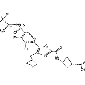 C[C@H](NS(=O)(=O)c1ccc(-c2sc(C(=O)N[C@H]3C[C@H](C(=O)O)C3)nc2CC2CCC2)c(Cl)c1F)C(F)(F)F